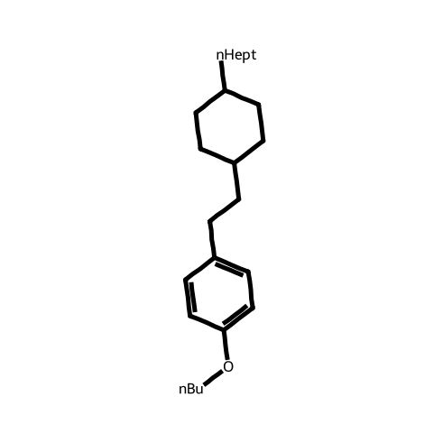 CCCCCCCC1CCC(CCc2ccc(OCCCC)cc2)CC1